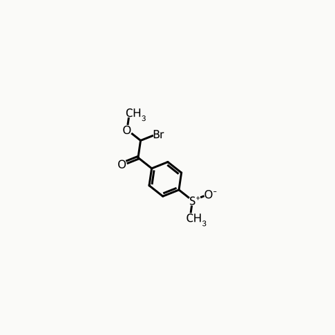 COC(Br)C(=O)c1ccc([S+](C)[O-])cc1